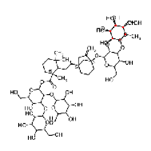 C=C1C[C@@]2(CCC3C(C)(C)CCC[C@@]3(C)C(=O)OC3OC(CO)C(O)C(OC4OC(CO)C(O)C(O)C4O)C3OC3OC(CO)C(O)C(O)C3O)CCC[C@]1(OC1OC(CO)C(O)C(OC3OC(CO)C(O)C(O)C3O)C1OC1OC(C)C(O)C(O)C1O)C2